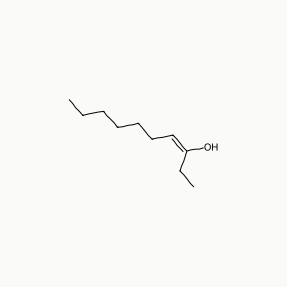 CCCCCC/C=C(/O)CC